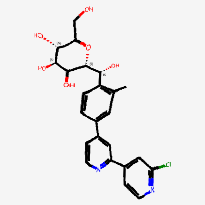 Cc1cc(-c2ccnc(-c3ccnc(Cl)c3)c2)ccc1[C@@H](O)[C@H]1OC(CO)[C@@H](O)[C@H](O)C1O